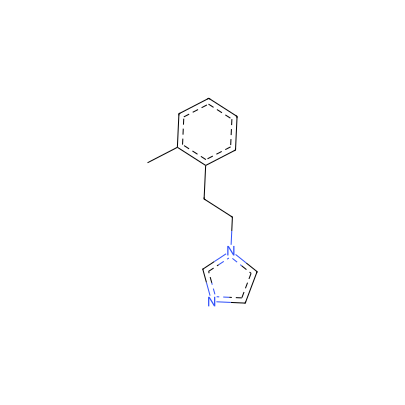 Cc1ccccc1CCn1ccnc1